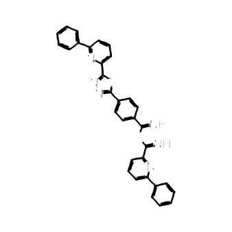 N=C(SC(=N)c1cccc(-c2ccccc2)n1)c1ccc(-c2nnc(-c3cccc(-c4ccccc4)n3)s2)cc1